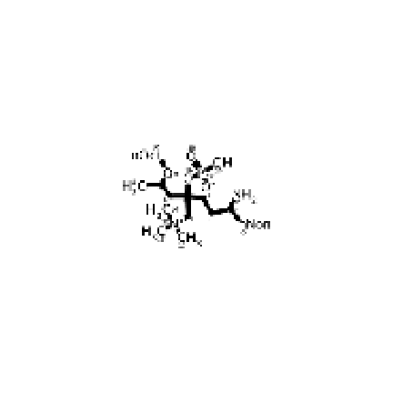 CCCCCCCCCC(N)CCC(CC(C)OCCCCCCCC)(C[N+](C)(C)C)OP(=O)([O-])O